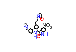 O=C1Nc2ccc([N+](=O)[O-])cc2C1=C(Nc1ccc(CN2CCCC2)cc1)c1ccc(CCCN2CCCC2=O)cc1